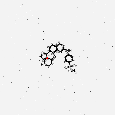 NS(=O)(=O)c1ccc(Nc2ncc3ccc(-c4ncco4)c(OC4CCNCC4)c3n2)cc1